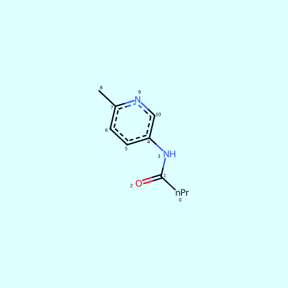 CCCC(=O)Nc1ccc(C)nc1